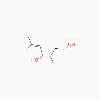 CC(C)=CC(O)C(C)CCO